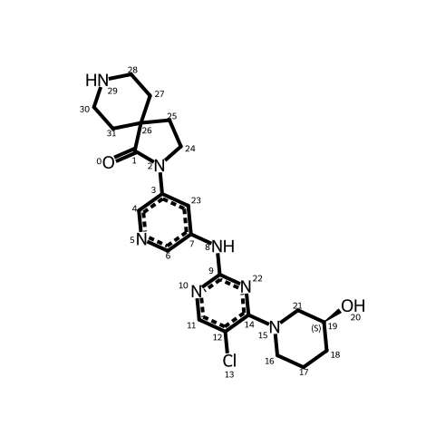 O=C1N(c2cncc(Nc3ncc(Cl)c(N4CCC[C@H](O)C4)n3)c2)CCC12CCNCC2